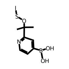 CC(C)(OSI)c1cc(B(O)O)ccn1